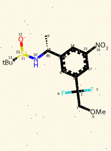 COCC(F)(F)c1cc([C@@H](C)N[S@+]([O-])C(C)(C)C)cc([N+](=O)[O-])c1